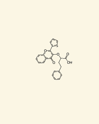 O=C(O)C(CCc1ccccc1)Oc1c(-c2cccs2)oc2ccccc2c1=O